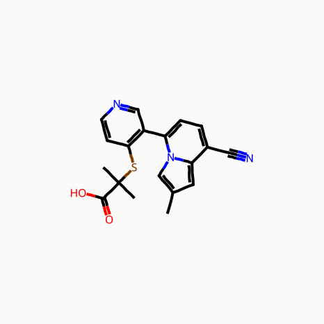 Cc1cc2c(C#N)ccc(-c3cnccc3SC(C)(C)C(=O)O)n2c1